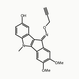 C#CCO/N=C1/c2cc(OC)c(OC)cc2-c2c1c1cc(O)ccc1n2C